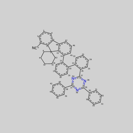 N#Cc1cccc2c1C1(CCCCC1)c1c(-c3ccccc3-c3ccccc3-c3nc(-c4ccccc4)nc(-c4ccccc4)n3)cccc1-2